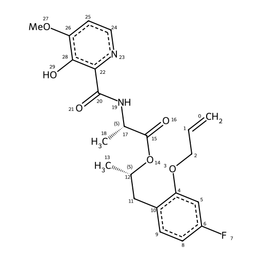 C=CCOc1cc(F)ccc1C[C@H](C)OC(=O)[C@H](C)NC(=O)c1nccc(OC)c1O